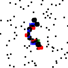 COc1cc(NC(=O)OC[C@@H]2CCN(C(=O)CCN3CCC(OC(=O)Nc4ccccc4-c4ccccc4)CC3)C2)c(Cl)cc1C=O